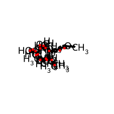 CCCCCOc1ccc(-c2ccc(-c3ccc(C(=O)NC4CCC(OCCOCC[N+](C)(C)C)NC(=O)C5[C@@H](O)[C@@H](C)CN5C(=O)C([C@@H](C)O)NC(=O)C([C@H](O)[C@@H](O)c5ccc(O)cc5)NC(=O)C5C[C@@H](O)CN5C(=O)C([C@@H](C)O)NC4=O)cc3)cc2)cc1